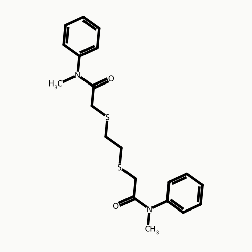 CN(C(=O)CSCCSCC(=O)N(C)c1ccccc1)c1ccccc1